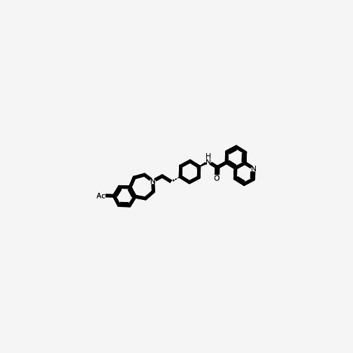 CC(=O)c1ccc2c(c1)CCN(CC[C@H]1CC[C@H](NC(=O)c3cccc4ncccc34)CC1)CC2